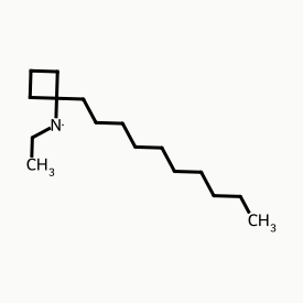 CCCCCCCCCCC1([N]CC)CCC1